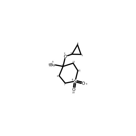 CC(C)(C)C1(OC2CC2)CCS(=O)(=O)CC1